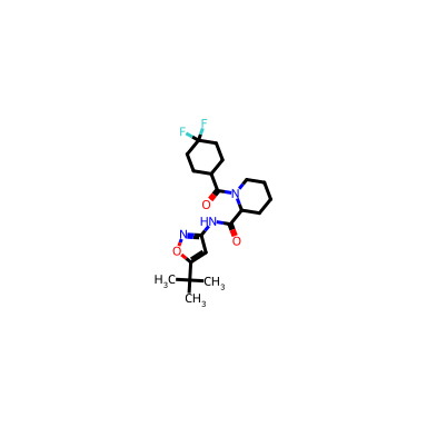 CC(C)(C)c1cc(NC(=O)C2CCCCN2C(=O)C2CCC(F)(F)CC2)no1